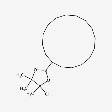 CC1(C)OB(C2CCCCCCCCCCCCCCC2)OC1(C)C